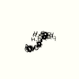 CC(=Cc1ccc(OCCN2C=CS(=O)(=O)CC2)cc1)c1ccc2c(c1)C(C)(C)CCC2(C)C